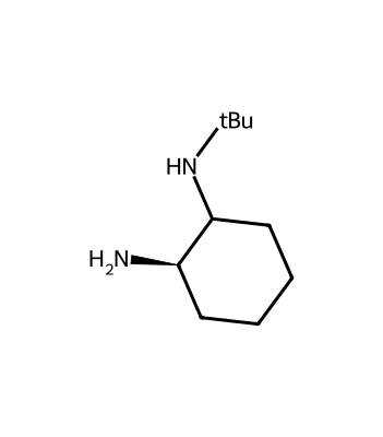 CC(C)(C)NC1CCCC[C@H]1N